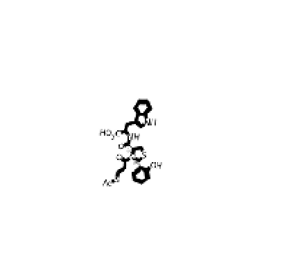 CC(=O)SCCC(=O)N1[C@@H](c2ccccc2O)SC[C@H]1C(=O)NC(Cc1c[nH]c2ccccc12)C(=O)O